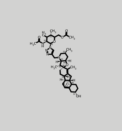 CC(=O)N[C@H]1C(C)[C@H](C)C(COC(C)=O)O[C@H]1n1cc(CN2C[C@@H](C)C[C@H]3O[C@]4(CC[C@@H]5C(=C4C)C[C@H]4[C@H]5CC=C5C[C@@H](O)CC[C@@]54C)[C@H](C)[C@@H]32)nn1